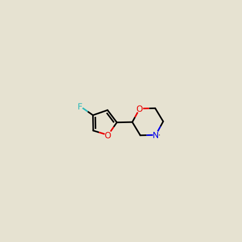 Fc1coc(C2C[N]CCO2)c1